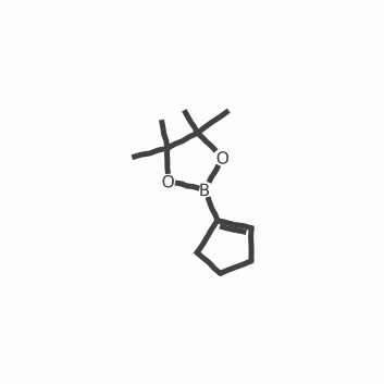 CC1(C)OB(C2=CCCC2)OC1(C)C